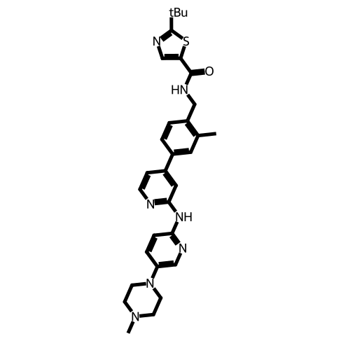 Cc1cc(-c2ccnc(Nc3ccc(N4CCN(C)CC4)cn3)c2)ccc1CNC(=O)c1cnc(C(C)(C)C)s1